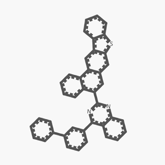 c1ccc(-c2cccc(-c3nc(-c4cc5cc6sc7ccccc7c6cc5c5ccccc45)nc4ccccc34)c2)cc1